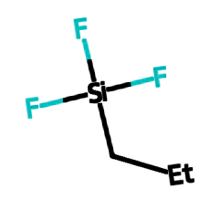 CCC[Si](F)(F)F